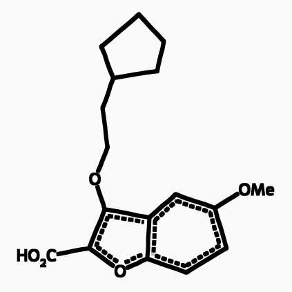 COc1ccc2oc(C(=O)O)c(OCCC3CCCC3)c2c1